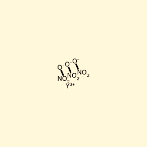 O=[N+]([O-])[O-].O=[N+]([O-])[O-].O=[N+]([O-])[O-].[Y+3]